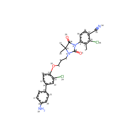 Cc1c(N2C(=O)N(CCCOc3ccc(-c4ccc(N)cc4)cc3Cl)C(C)(C)C2=O)ccc(C#N)c1Cl